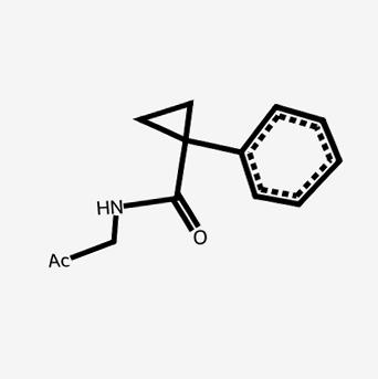 CC(=O)CNC(=O)C1(c2ccccc2)CC1